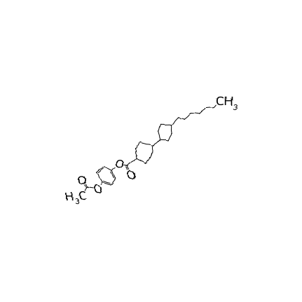 CCCCCCCC1CCC(C2CCC(C(=O)Oc3ccc(OC(C)=O)cc3)CC2)CC1